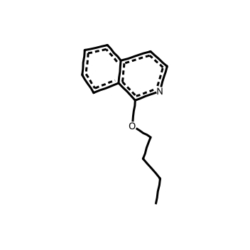 CCCCOc1nccc2ccccc12